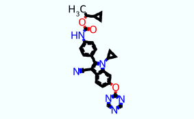 CC(OC(=O)Nc1ccc(-c2c(C#N)c3ccc(Oc4ncncn4)cc3n2C2CC2)cc1)C1CC1